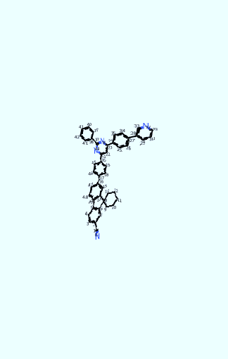 N#Cc1ccc2c(c1)C1(CCCCC1)c1cc(-c3ccc(-c4cc(-c5ccc(-c6cccnc6)cc5)nc(-c5ccccc5)n4)cc3)ccc1-2